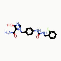 NC(=O)c1c(O)ncn1Cc1ccc(NC(=O)NCc2ccccc2F)cc1